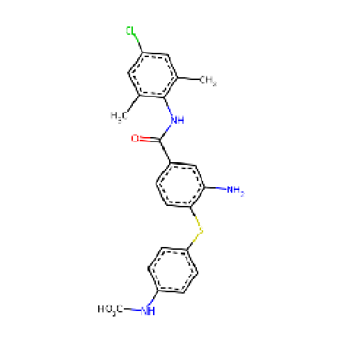 Cc1cc(Cl)cc(C)c1NC(=O)c1ccc(Sc2ccc(NC(=O)O)cc2)c(N)c1